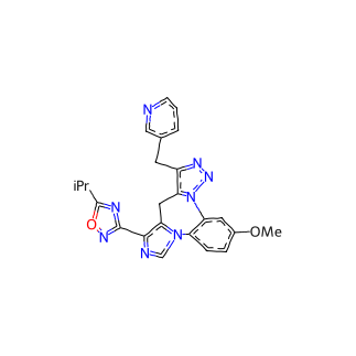 COc1ccc2c(c1)-n1nnc(Cc3cccnc3)c1Cc1c(-c3noc(C(C)C)n3)ncn1-2